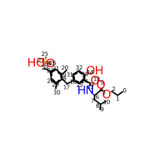 CCCOC(=O)C(CC(C)C)NC(=O)c1cc(Cc2c(C)cc(CP(C)(=O)O)cc2C)ccc1O